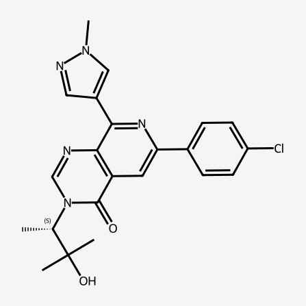 C[C@H](n1cnc2c(-c3cnn(C)c3)nc(-c3ccc(Cl)cc3)cc2c1=O)C(C)(C)O